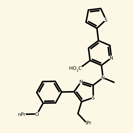 CCCOc1cccc(-c2nc(N(C)c3ncc(-c4cccs4)cc3C(=O)O)sc2CC(C)C)c1